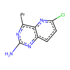 CC(C)c1nc(N)nc2ccc(Cl)nc12